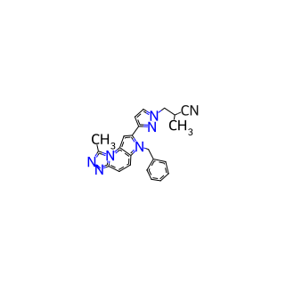 Cc1nnc2ccc3c(cc(-c4ccn(CC(C)C#N)n4)n3Cc3ccccc3)n12